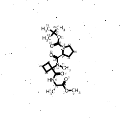 COC(=O)[C@H](C)NC(=O)C1(N(C)C(=O)[C@@H]2CCCN2C(=O)OC(C)(C)C)CCC1